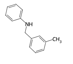 Cc1cccc(CNc2ccccc2)c1